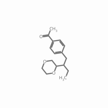 CCC(Cc1ccc(C(C)=O)cc1)C1COCCO1